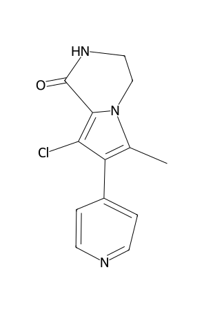 Cc1c(-c2ccncc2)c(Cl)c2n1CCNC2=O